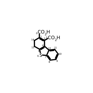 O=C(O)C1=C(C(=O)O)c2c(sc3ccccc23)CC1